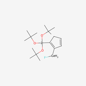 CC(C)(C)[O][Zr]([O]C(C)(C)C)([O]C(C)(C)C)[C]1=[C]([GeH2][F])C=CC1